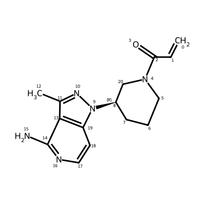 C=CC(=O)N1CCC[C@@H](n2nc(C)c3c(N)nccc32)C1